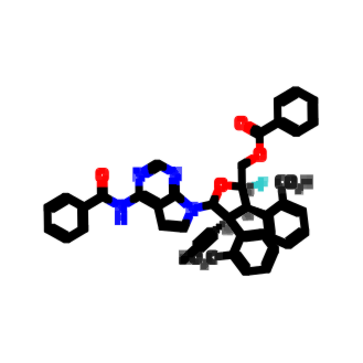 CC#C[C@]1(c2ccccc2C(=O)O)C(n2ccc3c(NC(=O)c4ccccc4)ncnc32)O[C@@](F)(COC(=O)c2ccccc2)[C@H]1c1ccccc1C(=O)O